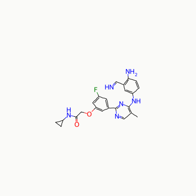 Cc1cnc(-c2cc(F)cc(OCC(=O)NC3CC3)c2)nc1Nc1ccc(N)c(C=N)c1